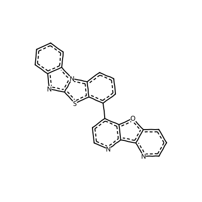 c1ccc2c(c1)nc1sc3c(-c4ccnc5c4oc4cccnc45)cccc3n12